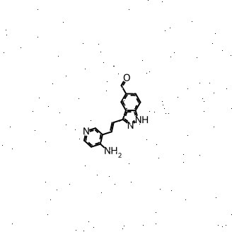 Nc1ccncc1C=Cc1n[nH]c2ccc(C=O)cc12